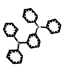 c1ccc(N(c2ccccc2)c2cccc([S+](c3ccccc3)c3ccccc3)c2)cc1